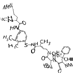 CNCCCC(NC=O)C(=O)Nc1ccc(SNC(=O)/C(C)=C/CN(C)C(=O)C(NC(=O)C(NC)C(C)(C)c2ccccc2)C(C)(C)C)c(C)c1C